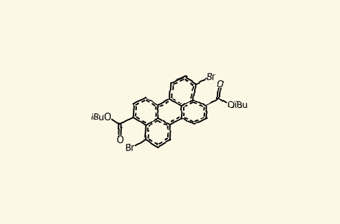 CC(C)COC(=O)c1ccc2c3ccc(Br)c4c(C(=O)OCC(C)C)ccc(c5ccc(Br)c1c52)c43